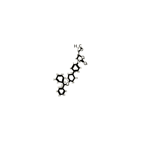 COC[C@@H]1CN(c2ccc(C3CCC(OC(c4ccccc4)c4ccccc4)CC3)cc2)C(=O)O1